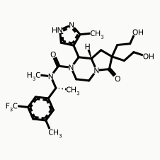 Cc1cc([C@@H](C)N(C)C(=O)N2CCN3C(=O)C(CCO)(CCO)C[C@H]3C2c2c[nH]nc2C)cc(C(F)(F)F)c1